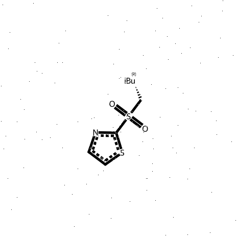 CC[C@@H](C)CS(=O)(=O)c1nccs1